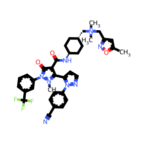 Cc1cc(C[N+](C)(C)C[C@H]2CC[C@H](NC(=O)c3c(-c4ccnn4-c4ccc(C#N)cc4)n(C)n(-c4cccc(C(F)(F)F)c4)c3=O)CC2)no1